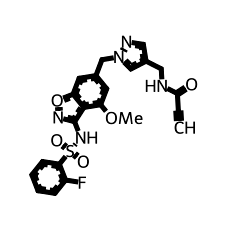 C#CC(=O)NCc1cnn(Cc2cc(OC)c3c(NS(=O)(=O)c4ccccc4F)noc3c2)c1